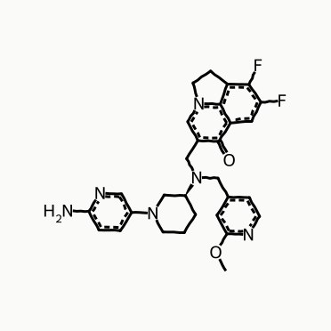 COc1cc(CN(Cc2cn3c4c(c(F)c(F)cc4c2=O)CC3)[C@H]2CCCN(c3ccc(N)nc3)C2)ccn1